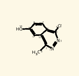 Cc1nnc(Cl)c2ccc(O)cc12